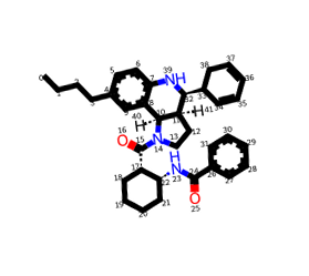 CCCCc1ccc2c(c1)[C@H]1[C@H](CCN1C(=O)[C@H]1CCCC[C@H]1NC(=O)c1ccccc1)[C@H](C1C=CC=CC1)N2